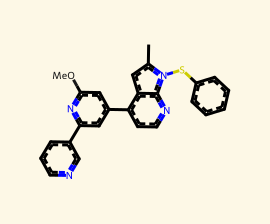 COc1cc(-c2ccnc3c2cc(C)n3Sc2ccccc2)cc(-c2cccnc2)n1